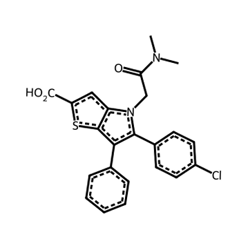 CN(C)C(=O)Cn1c(-c2ccc(Cl)cc2)c(-c2ccccc2)c2sc(C(=O)O)cc21